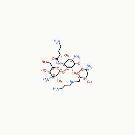 NCCCNC[C@H]1O[C@H](OC2[C@@H](N)C[C@@H](NC(=O)[C@@H](O)CCN)[C@H](O[C@H]3O[C@H](CO)[C@@H](O)[C@H](N)[C@H]3O)[C@H]2O)[C@H](N)C[C@@H]1O